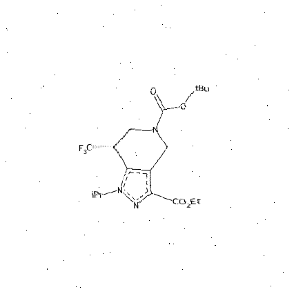 CCOC(=O)c1nn(C(C)C)c2c1CN(C(=O)OC(C)(C)C)C[C@H]2C(F)(F)F